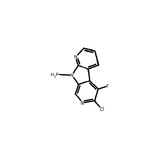 Fc1c(Cl)ncc2c1c1cccnc1n2P